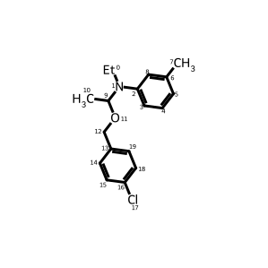 CCN(c1cccc(C)c1)C(C)OCc1ccc(Cl)cc1